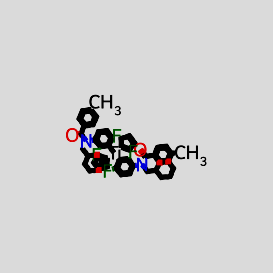 Cc1ccc(C(=O)N(CC2CCCCC2)c2ccc(F)[c]([Ti]([C]3=CC=CC3)([C]3=CC=CC3)[c]3c(F)ccc(N(CC4CCCCC4)C(=O)c4ccc(C)cc4)c3F)c2F)cc1